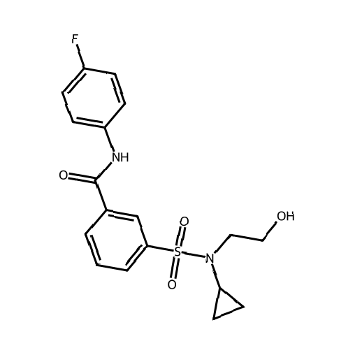 O=C(Nc1ccc(F)cc1)c1cccc(S(=O)(=O)N(CCO)C2CC2)c1